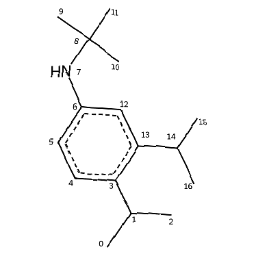 CC(C)c1ccc(NC(C)(C)C)cc1C(C)C